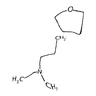 C1CCOC1.[CH2]CCN(C)C